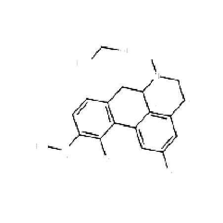 CCO.COc1ccc2c(c1O)-c1cc(O)cc3c1C(C2)N(C)CC3